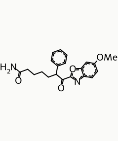 COc1ccc2nc(C(=O)C(CCCCC(N)=O)c3ccccc3)oc2c1